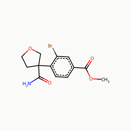 COC(=O)c1ccc(C2(C(N)=O)CCOC2)c(Br)c1